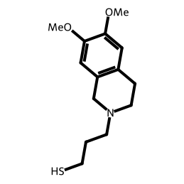 COc1cc2c(cc1OC)CN(CCCS)CC2